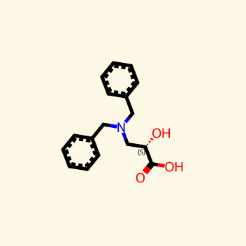 O=C(O)[C@@H](O)CN(Cc1ccccc1)Cc1ccccc1